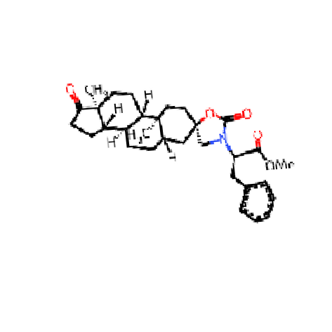 COC(=O)[C@@H](Cc1ccccc1)N1C[C@]2(CC[C@@]3(C)[C@@H](CC[C@@H]4[C@@H]3CC[C@]3(C)C(=O)CC[C@@H]43)C2)OC1=O